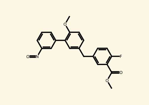 COC(=O)c1cc(Cc2ccc(OC)c(-c3cccc(N=O)c3)c2)ccc1F